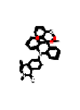 Cc1cn(C)c(=O)c2ccc(N3c4ccccc4C4(c5ccccc5Sc5ccccc54)c4ccccc43)cc12